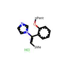 CCCCCOc1ccccc1/C(=C\SC)n1ccnc1.Cl